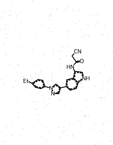 CCc1ccc(-n2cc(-c3ccc4[nH]cc(NC(=O)CC#N)c4c3)cn2)cc1